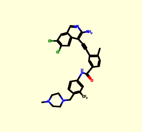 Cc1ccc(C(=O)Nc2ccc(CN3CCN(C)CC3)c(C(F)(F)F)c2)cc1C#Cc1c(N)ncc2cc(Cl)c(Cl)cc12